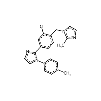 Cc1ccc(-n2ccnc2-c2ccc(Cn3ccnc3C)c(Cl)c2)cc1